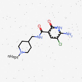 CCCCCCCN1CCC(CNC(=O)c2cc(Cl)c(N)[nH]c2=O)CC1